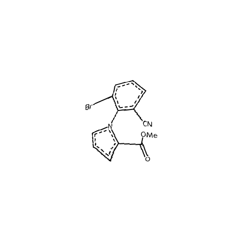 COC(=O)c1cccn1-c1c(Br)cccc1C#N